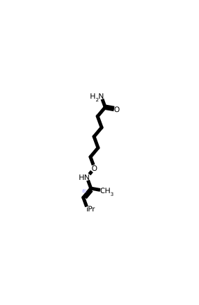 C/C(=C\C(C)C)NOCCCCCC(N)=O